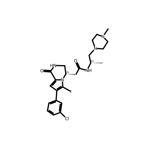 C[C@@H](CN1CCN(C)CC1)NC(=O)C[C@H]1CNC(=O)c2cc(-c3cccc(Cl)c3)c(I)n21